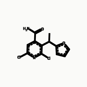 CC(c1ccco1)c1c(C(N)=O)cc(Cl)nc1Cl